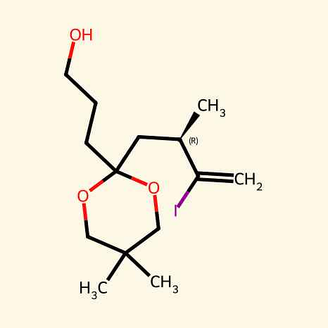 C=C(I)[C@H](C)CC1(CCCO)OCC(C)(C)CO1